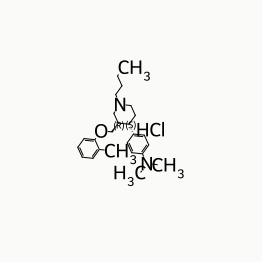 CCCCN1CC[C@H](c2ccc(N(C)C)cc2)[C@@H](COc2ccccc2C)C1.Cl